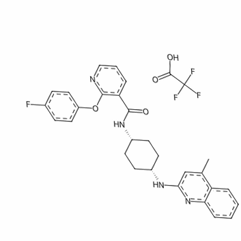 Cc1cc(N[C@H]2CC[C@@H](NC(=O)c3cccnc3Oc3ccc(F)cc3)CC2)nc2ccccc12.O=C(O)C(F)(F)F